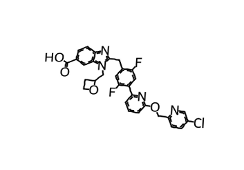 O=C(O)c1ccc2nc(Cc3cc(F)c(-c4cccc(OCc5ccc(Cl)cn5)n4)cc3F)n(CC3CCO3)c2c1